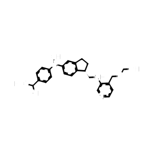 CC(C)c1ccc(N(C)c2ccc3c(c2)CC[C@H]3CNc2cnccc2COCO)cc1